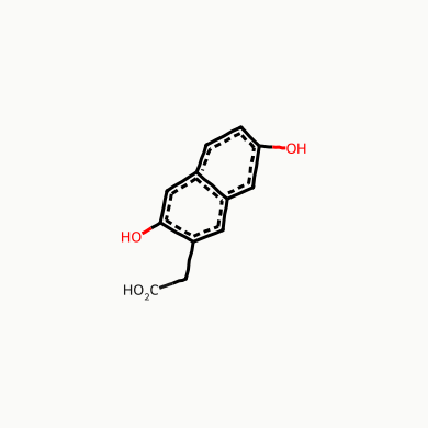 O=C(O)Cc1cc2cc(O)ccc2cc1O